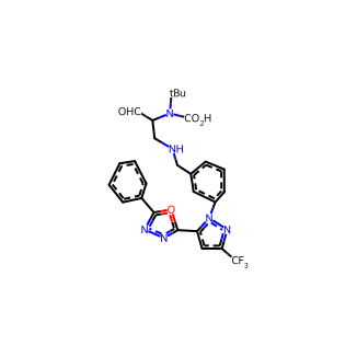 CC(C)(C)N(C(=O)O)C(C=O)CNCc1cccc(-n2nc(C(F)(F)F)cc2-c2nnc(-c3ccccc3)o2)c1